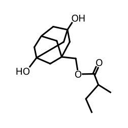 CCC(C)C(=O)OCC12CC3CC(O)(CC(O)(C3)C1)C2